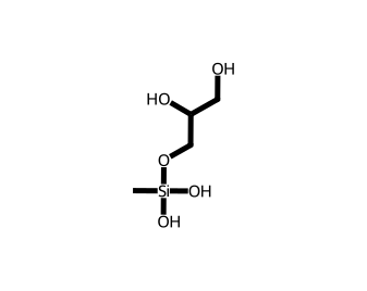 C[Si](O)(O)OCC(O)CO